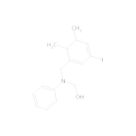 CC1C=C(I)C=C(CN(CO)c2ccccc2)C1C